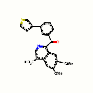 COc1cc2c(C(=O)O)cnc(C(=O)c3cccc(-c4ccsc4)c3)c2cc1OC